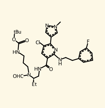 CC[C@H](CNC(=O)c1cc(Cl)c(-c2cnn(C)c2)nc1NCCc1cccc(F)c1)N(C=O)CCCNC(=O)OC(C)(C)C